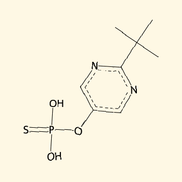 CC(C)(C)c1ncc(OP(O)(O)=S)cn1